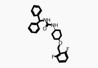 O=C(NC(c1ccccc1)c1ccccc1)N[C@H]1CC[C@H](OCc2c(F)cccc2F)CC1